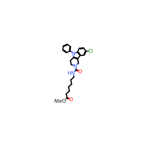 COC(=O)CCCCCCNC(=O)N1CCc2c(c3cc(Cl)ccc3n2-c2ccccc2)C1